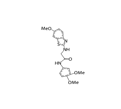 COc1ccc2nc(NCC(=O)Nc3ccc(OC)c(OC)c3)sc2c1